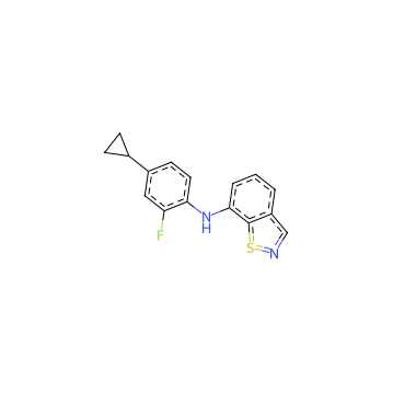 Fc1cc(C2CC2)ccc1Nc1cccc2cnsc12